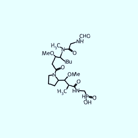 CCC(C)C(C(CC(=O)N1CCCC1C(OC)C(C)C(=O)NC[PH](=O)O)OC)N(C)C(=O)CNC=O